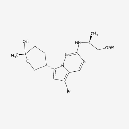 COC[C@H](C)Nc1ncc2c(Br)cc([C@H]3CC[C@@](C)(O)CC3)n2n1